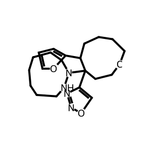 c1coc(C2CCCCCCCC2(c2conn2)N2CCCCCCCN2)c1